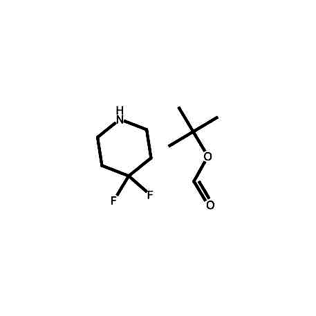 CC(C)(C)OC=O.FC1(F)CCNCC1